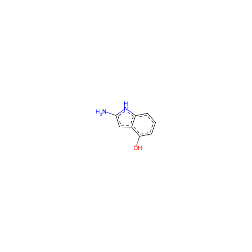 Nc1cc2c(O)cccc2[nH]1